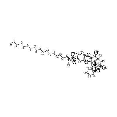 CCCCCCCCCCCCCCCCCCN(C)S(=O)(=O)c1ccc(OC(C(=O)Nc2ccccc2)C(=O)C(C)(C)CS(=O)(=O)O)cc1